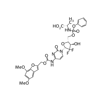 COc1cc(OC)c2oc(COC(=O)Nc3ccn([C@@H]4O[C@H](COP(=O)(N[C@@H](C)C(=O)O)Oc5ccccc5)[C@@H](O)C4(F)F)c(=O)n3)cc2c1